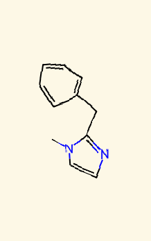 Cn1ccnc1Cc1ccccc1